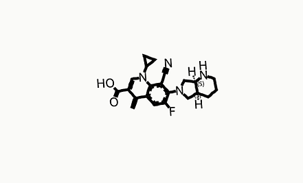 C=C1C(C(=O)O)=CN(C2CC2)c2c1cc(F)c(N1C[C@@H]3CCCN[C@@H]3C1)c2C#N